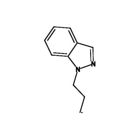 [CH2]CCn1ncc2ccccc21